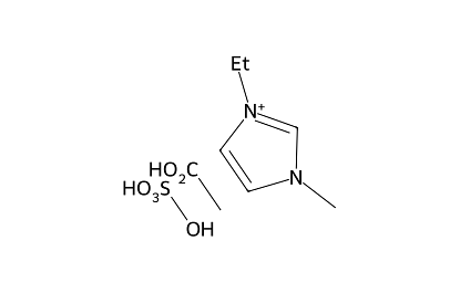 CC(=O)O.CC[n+]1ccn(C)c1.O=S(=O)(O)O